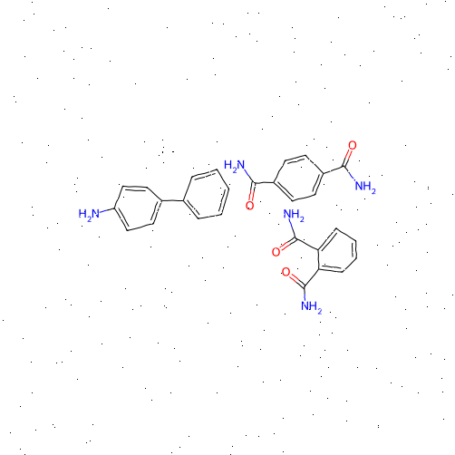 NC(=O)c1ccc(C(N)=O)cc1.NC(=O)c1ccccc1C(N)=O.Nc1ccc(-c2ccccc2)cc1